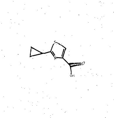 O=C(O)c1csc(C2CC2)n1